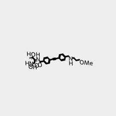 COCCCNCc1ccc(C#Cc2ccc(C(=O)N[C@H](C(=O)NO)[C@@H](C)O)cc2)cc1